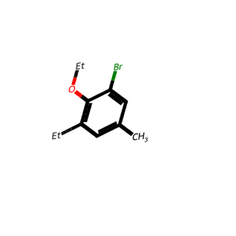 CCOc1c(Br)cc(C)cc1CC